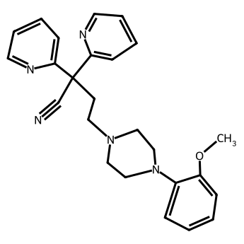 COc1ccccc1N1CCN(CCC(C#N)(c2ccccn2)c2ccccn2)CC1